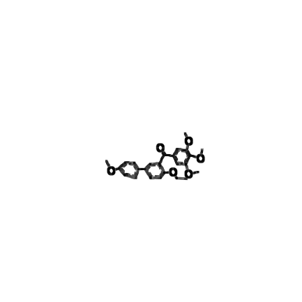 CCOc1ccc(-c2ccc(OC)cc2)cc1C(=O)c1cc(OC)c(OC)c(OC)c1